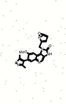 COc1cc2c(cc1-c1c(C)noc1C)ncc1[nH]c(=O)n(Cc3ccc4n3O4)c12